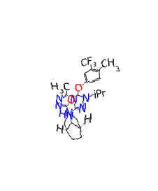 Cc1nnc(N2C[C@H]3CC[C@@H](C2)C3Nc2nc(Oc3ccc(C)c(C(F)(F)F)c3)n(C(C)C)n2)o1